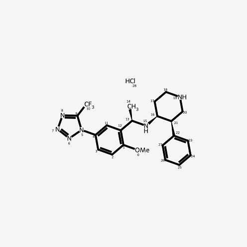 COc1ccc(-n2nnnc2C(F)(F)F)cc1[C@@H](C)N[C@H]1CCNC[C@H]1c1ccccc1.Cl